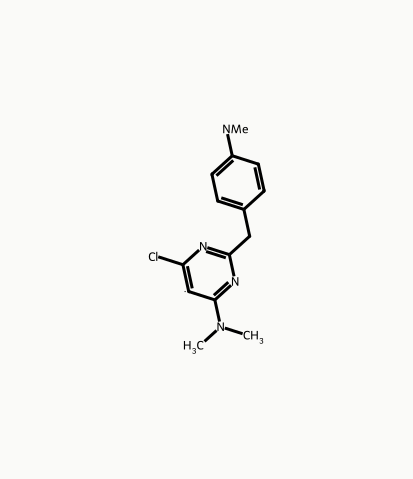 CNc1ccc(Cc2nc(Cl)[c]c(N(C)C)n2)cc1